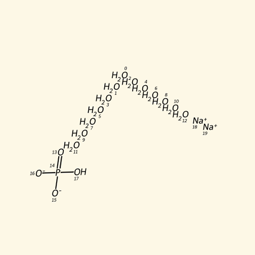 O.O.O.O.O.O.O.O.O.O.O.O.O.O=P([O-])([O-])O.[Na+].[Na+]